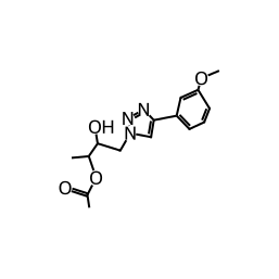 COc1cccc(-c2cn(CC(O)C(C)OC(C)=O)nn2)c1